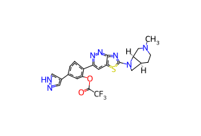 CN1CC[C@H]2CN(c3nc4nnc(-c5ccc(-c6cn[nH]c6)cc5OC(=O)C(F)(F)F)cc4s3)[C@H]2C1